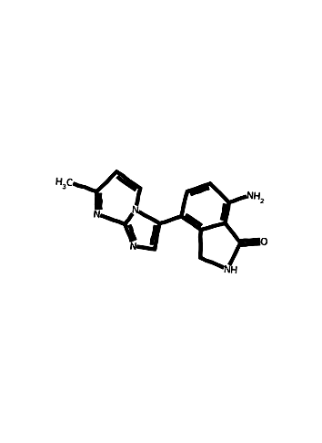 Cc1ccn2c(-c3ccc(N)c4c3CNC4=O)cnc2n1